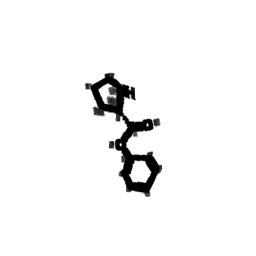 O=C(Oc1ccccc1)[C@@H]1CCCN1